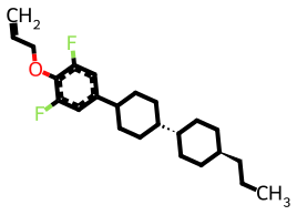 C=CCOc1c(F)cc(C2CCC([C@H]3CC[C@H](CCC)CC3)CC2)cc1F